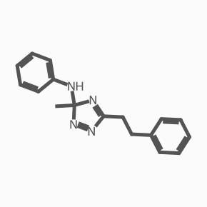 CC1(Nc2ccccc2)N=NC(CCc2ccccc2)=N1